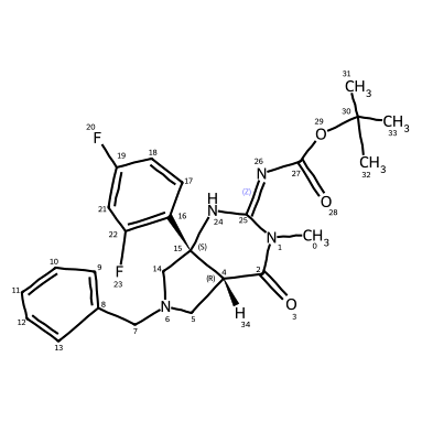 CN1C(=O)[C@@H]2CN(Cc3ccccc3)C[C@]2(c2ccc(F)cc2F)N/C1=N/C(=O)OC(C)(C)C